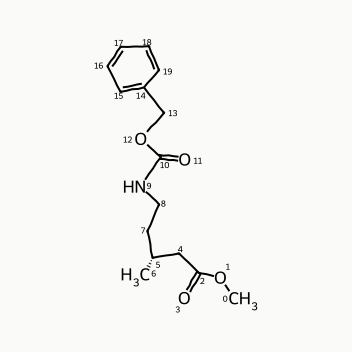 COC(=O)C[C@H](C)CCNC(=O)OCc1ccccc1